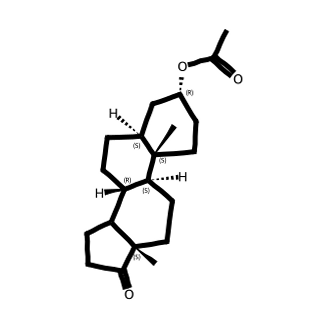 CC(=O)O[C@@H]1CC[C@@]2(C)[C@@H](CC[C@H]3C4CCC(=O)[C@@]4(C)CC[C@@H]32)C1